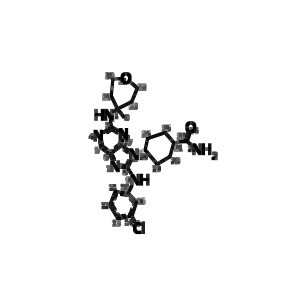 CC1(Nc2ncc3nc(Nc4cccc(Cl)c4)n([C@H]4CC[C@H](C(N)=O)CC4)c3n2)CCOCC1